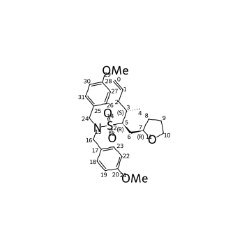 C=CC[C@H](C)[C@@H](C[C@H]1CCCO1)S(=O)(=O)N(Cc1ccc(OC)cc1)Cc1ccc(OC)cc1